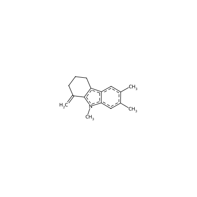 C=C1CCCc2c1n(C)c1cc(C)c(C)cc21